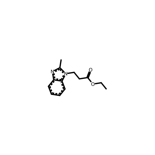 CCOC(=O)CCn1c(C)nc2ccccc21